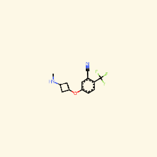 CNC1CC(Oc2ccc(C(F)(F)F)c(C#N)c2)C1